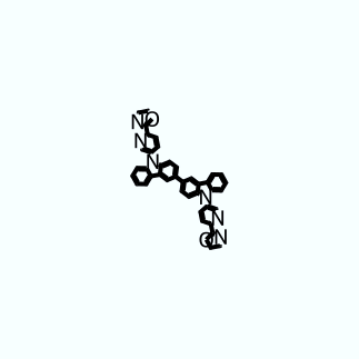 c1ccc2c(c1)c1cc(-c3ccc4c(c3)c3ccccc3n4-c3ccc(C4=NCCO4)nc3)ccc1n2-c1ccc(C2=NCCO2)nc1